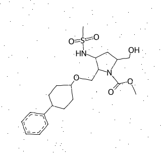 COC(=O)N1C(CO)CC(NS(C)(=O)=O)C1COC1CCC(c2ccccc2)CC1